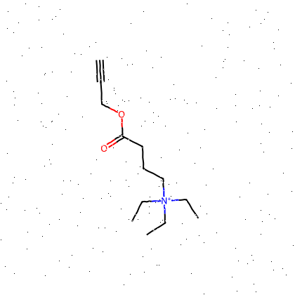 C#CCOC(=O)CCC[N+](CC)(CC)CC